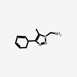 Cc1c(C2C=CC=CC2)nnn1CN